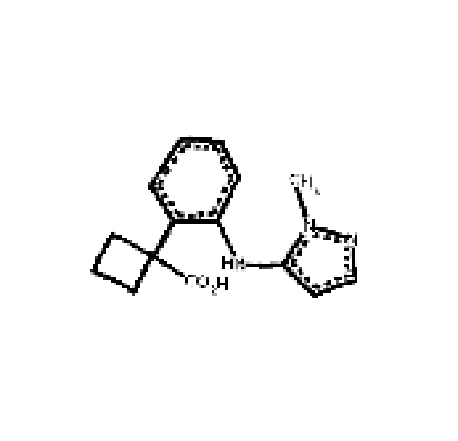 Cn1nccc1Nc1ccccc1C1(C(=O)O)CCC1